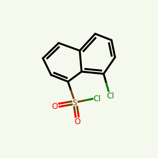 O=S(=O)(Cl)c1cccc2cccc(Cl)c12